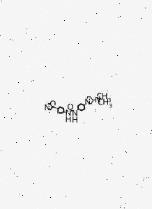 CN(C)C1CCN(c2ccc(NC(=O)Nc3ccc(-c4cnco4)cc3)cc2)C1